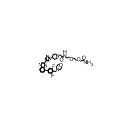 NC(=O)COCCOCCNC(=O)CN1CCC(n2cc(-c3cnc4cccc(-c5cc(F)c(CN6CCOCC6)c(F)c5)c4n3)cn2)CC1